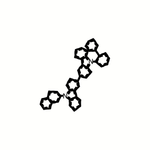 c1ccc(-c2ccccc2-n2c3ccccc3c3cc(-c4ccc5c(c4)c4ccccc4n5-c4ccc5ccccc5c4)ccc32)cc1